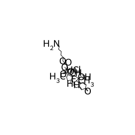 C[C@H]1C[C@H]2[C@@H]3CCC4=CC(=O)C=C[C@]4(C)[C@@]3(F)[C@@H](O)C[C@]2(C)[C@@]1(O)C(=O)COC(=O)OCCCCCN.Cl